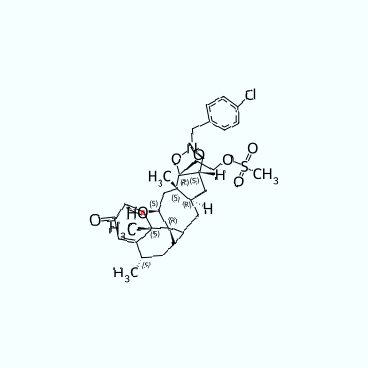 C[C@H]1CC2C3C[C@@H]4C[C@H]5CN(Cc6ccc(Cl)cc6)O[C@@]5(C(=O)COS(C)(=O)=O)[C@@]4(C)C[C@H](O)[C@@]32[C@@]2(C)C=CC(=O)C=C12